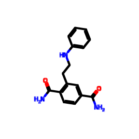 NC(=O)c1ccc(C(N)=O)c(CCNc2ccccc2)c1